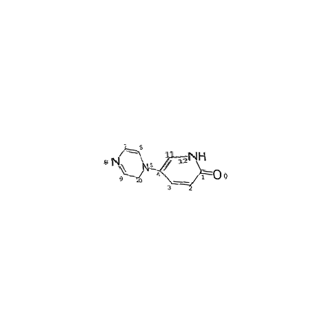 O=c1ccc(N2C=CN=CC2)c[nH]1